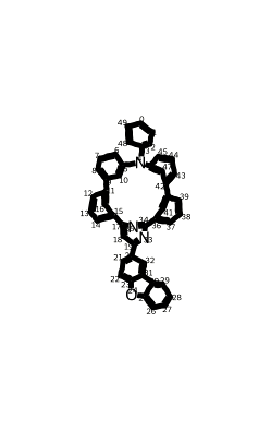 c1ccc(N2c3cccc(c3)-c3cccc(c3)-c3cc(-c4ccc5oc6ccccc6c5c4)nc(n3)-c3cccc(c3)-c3cccc2c3)cc1